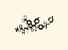 COC(=O)c1ccc2c(c1)N(C(=O)CNC(=O)OC(C)(C)C)C(=O)/C2=C(\Nc1ccc(N(C)C(=O)CN2CCN(C)CC2)cc1)C1=CCC(C)C=C1